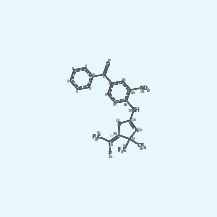 O=C(c1ccccc1)c1ccc(NC2=NC(C(F)(F)F)(C(F)(F)F)/C(=C(\F)C(F)(F)F)S2)c([N+](=O)[O-])c1